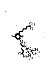 CC(C)(C)OC(=O)N[C@@H](CCC(N)=O)COc1cc(F)cc(CCCCCC(=O)O)c1F